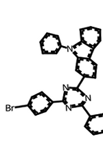 Brc1ccc(-c2nc(-c3ccccc3)nc(-c3ccc4c5ccccc5n(-c5ccccc5)c4c3)n2)cc1